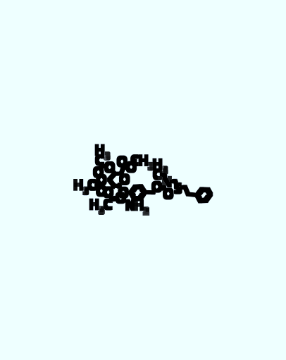 CCN(CSCCc1ccccc1)C(=O)OCc1ccc(O[C@H]2OC(C(=O)OC)C(OC(C)=O)[C@H](OC(C)=O)C2OC(C)=O)c(N)c1